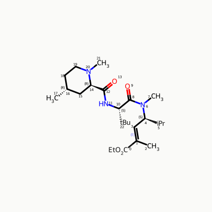 CCOC(=O)/C(C)=C/[C@H](C(C)C)N(C)C(=O)[C@@H](NC(=O)[C@H]1C[C@H](C)CCN1C)C(C)(C)C